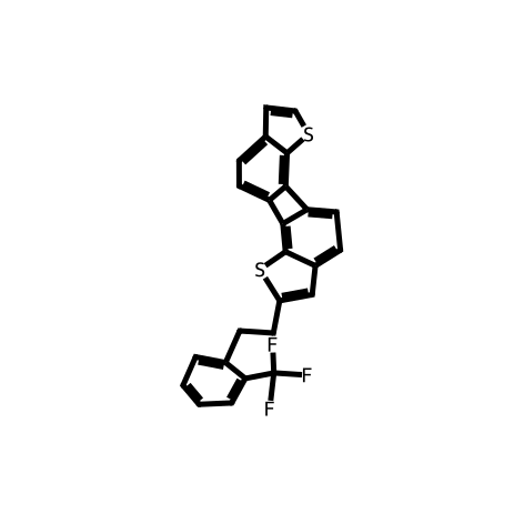 FC(F)(F)c1ccccc1CCc1cc2ccc3c(c2s1)-c1ccc2ccsc2c1-3